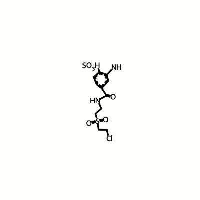 [NH]c1cc(C(=O)NCCS(=O)(=O)CCCl)ccc1S(=O)(=O)O